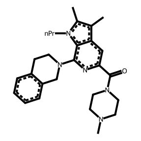 CCCn1c(C)c(C)c2cc(C(=O)N3CCN(C)CC3)nc(N3CCc4ccccc4C3)c21